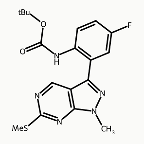 CSc1ncc2c(-c3cc(F)ccc3NC(=O)OC(C)(C)C)nn(C)c2n1